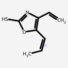 C=Cc1nc(S)oc1/C=C\C